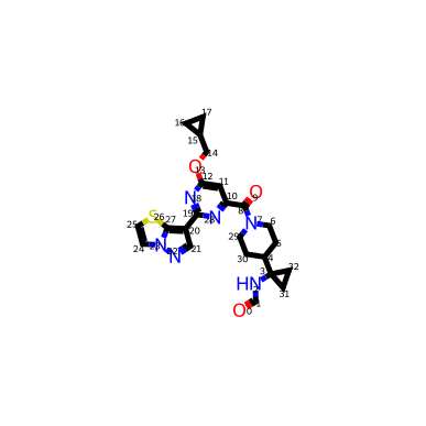 O=CNC1(C2CCN(C(=O)c3cc(OCC4CC4)nc(-c4cnn5ccsc45)n3)CC2)CC1